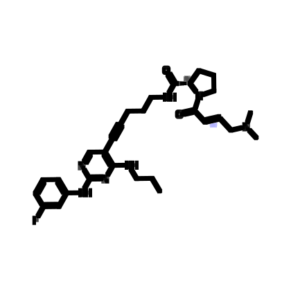 CCCNc1nc(Nc2cccc(F)c2)ncc1C#CCCCNC(=O)[C@@H]1CCCN1C(=O)/C=C/CN(C)C